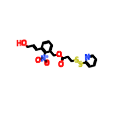 O=C(CCSSc1ccccn1)OCc1cccc(C=CCO)c1[N+](=O)[O-]